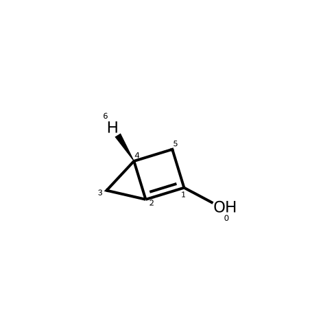 OC1=C2C[C@@H]2C1